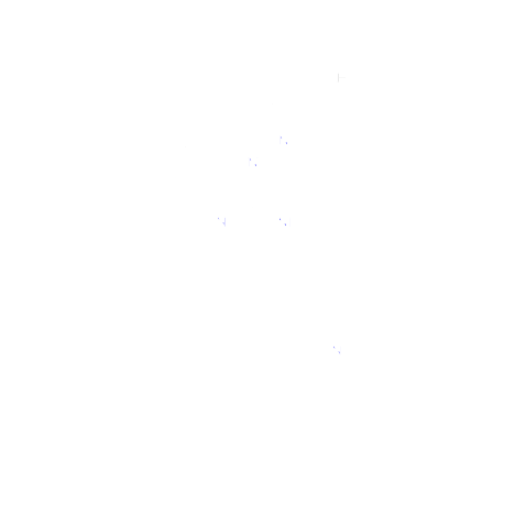 CCCCN1CCC(c2cnc(-n3nc(C(C)C)c4cccc(F)c43)[nH]2)CC1